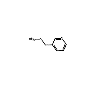 CCCCSCc1[c]nccc1